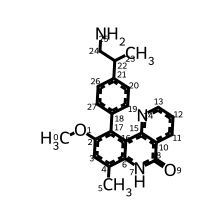 COc1cc(C)c2[nH]c(=O)c3cccnc3c2c1-c1ccc(C(C)CN)cc1